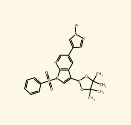 CC(C)n1cc(-c2cnc3c(c2)c(B2OC(C)(C)C(C)(C)O2)cn3S(=O)(=O)c2ccccc2)cn1